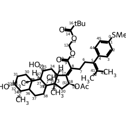 CSc1ccc(C(CCC(C(=O)OCOC(=O)C(C)(C)C)=C2[C@@H](OC(C)=O)C[C@@]3(C)[C@@H]2C[C@@H](O)[C@@H]2[C@@]4(C)CC[C@@H](O)[C@@H](C)C4CC[C@@]23C)=C(C)C)cc1